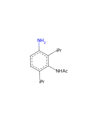 CC(=O)Nc1c(C(C)C)ccc(N)c1C(C)C